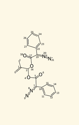 C=C(C)C(OC(=O)C(=[N+]=[N-])c1ccccc1)OC(=O)C(=[N+]=[N-])c1ccccc1